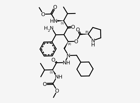 COC(=O)N[C@H](C(=O)NN(CC1CCCCC1)C[C@H](OC(=O)[C@H]1CCCN1)C(C(=O)[C@@H](NC(=O)OC)C(C)C)C(N)c1ccccc1)C(C)C